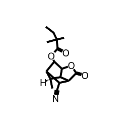 CCC(C)(C)C(=O)OC1C2OC(=O)C3C(C#N)C1[C@H](C)C23